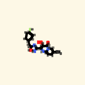 Cc1ccc2nc(-c3noc(CC4=C=C=C(F)C=C4)n3)c(O)c(=O)n2c1